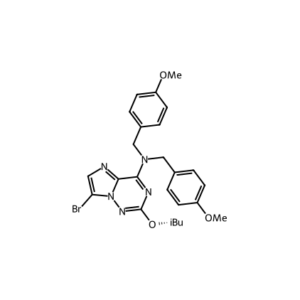 CC[C@@H](C)Oc1nc(N(Cc2ccc(OC)cc2)Cc2ccc(OC)cc2)c2ncc(Br)n2n1